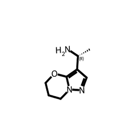 C[C@@H](N)c1cnn2c1OCCC2